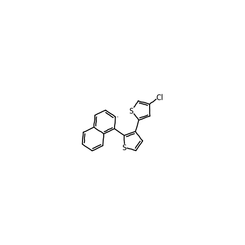 Clc1csc(-c2ccsc2-c2[c]ccc3ccccc23)c1